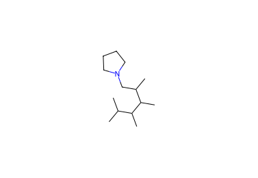 CC(C)C(C)C(C)C(C)CN1CCCC1